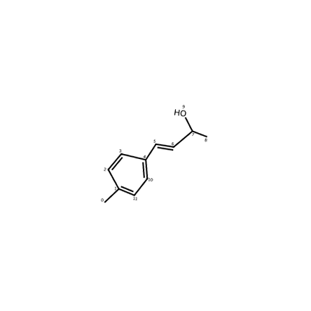 Cc1ccc(C=CC(C)O)cc1